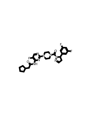 O=C(CC1CCCC1)Nc1nc(N2CCN(C(=O)N3N=CCC3c3cc(F)cc(F)c3)CC2)ncc1F